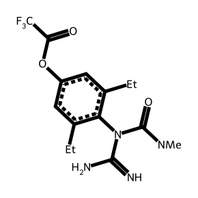 CCc1cc(OC(=O)C(F)(F)F)cc(CC)c1N(C(=N)N)C(=O)NC